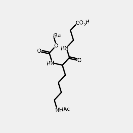 CC(=O)NCCCCC(NC(=O)OC(C)(C)C)C(=O)NCCC(=O)O